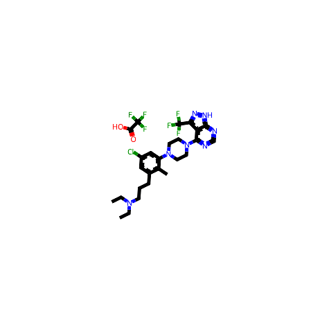 CCN(CC)CCCc1cc(Cl)cc(N2CCN(c3ncnc4[nH]nc(C(F)(F)F)c34)CC2)c1C.O=C(O)C(F)(F)F